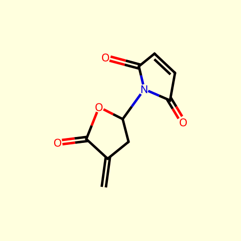 C=C1CC(N2C(=O)C=CC2=O)OC1=O